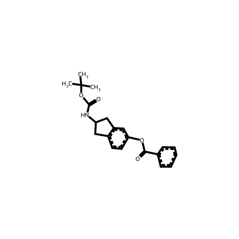 CC(C)(C)OC(=O)NC1Cc2ccc(OC(=O)c3ccccc3)cc2C1